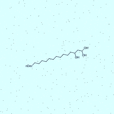 CCCCCCCCCCCCCCCCCCCCCC(O)CC(O)O